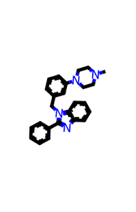 CN1CCN(c2cccc(Cn3c(-c4ccccc4)nc4ccccc43)c2)CC1